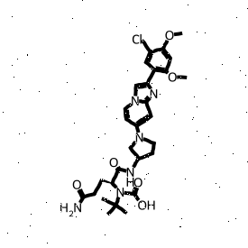 COc1cc(OC)c(-c2cn3ccc(N4CCC(NC(=O)[C@H](CCC(N)=O)N(C(=O)O)C(C)(C)C)C4)cc3n2)cc1Cl